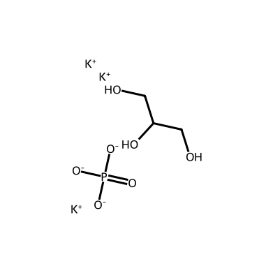 O=P([O-])([O-])[O-].OCC(O)CO.[K+].[K+].[K+]